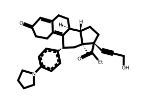 CCC(=O)[C@@]1(C#CCO)CC[C@H]2[C@@H]3CCC4=CC(=O)CCC4=C3[C@@H](c3ccc(N4CCCC4)cc3)C[C@@]21C